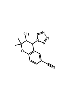 CC1(C)Oc2ccc(C#N)cc2C(n2cnnn2)C1O